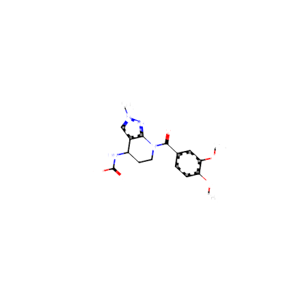 COc1ccc(C(=O)N2CCC(NC(=O)O)c3cn(C)nc32)cc1OC